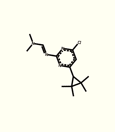 CN(C)C=Nc1nc(Cl)cc(C2C(C)(C)C2(C)C)n1